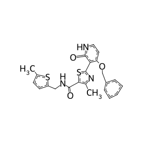 Cc1ccc(CNC(=O)c2sc(-c3c(OCc4ccccc4)cc[nH]c3=O)nc2C)s1